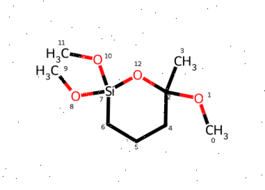 COC1(C)CCC[Si](OC)(OC)O1